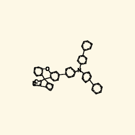 c1ccc(-c2ccc(N(c3ccc(-c4ccccc4)cc3)c3ccc(-c4ccc5c(c4)Oc4ccccc4C54c5ccccc5-c5ccccc54)cc3)cc2)cc1